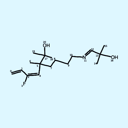 C=C/C(F)=C\C(C)(CCCC/N=C/C(C)(C)O)C(C)(C)O